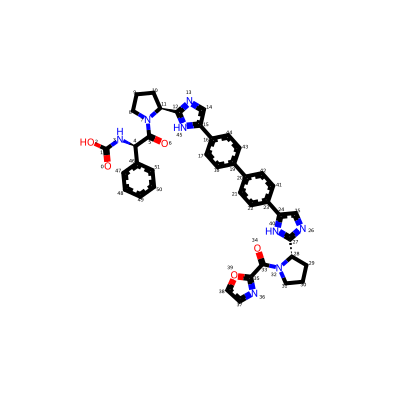 O=C(O)N[C@@H](C(=O)N1CCC[C@H]1c1ncc(-c2ccc(-c3ccc(-c4cnc([C@@H]5CCCN5C(=O)c5ncco5)[nH]4)cc3)cc2)[nH]1)c1ccccc1